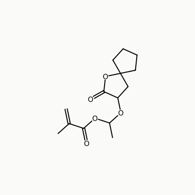 C=C(C)C(=O)OC(C)OC1CC2(CCCC2)OC1=O